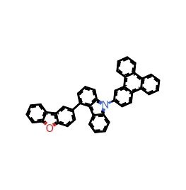 c1ccc2c(c1)oc1ccc(-c3cccc4c3c3ccccc3n4-c3ccc4c5ccccc5c5ccccc5c4c3)cc12